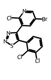 Clc1cccc(-c2snnc2-c2cc(Br)cnc2Cl)c1Cl